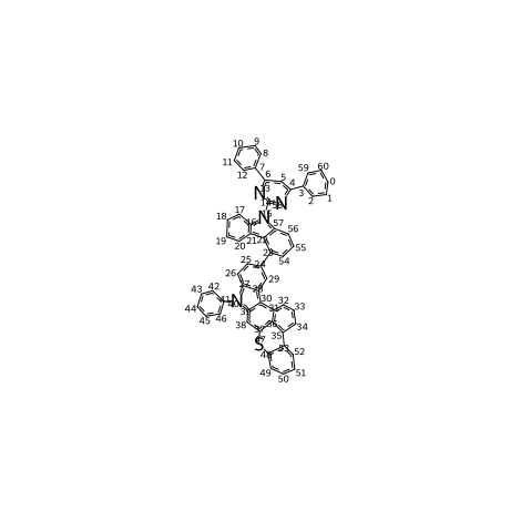 c1ccc(-c2cc(-c3ccccc3)nc(-n3c4ccccc4c4c(-c5ccc6c(c5)c5c7cccc8c7c(cc5n6-c5ccccc5)Sc5ccccc5-8)cccc43)n2)cc1